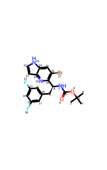 CC(C)(C)OC(=O)N[C@@H](Cc1cc(F)cc(F)c1)c1nc2cc[nH]c2cc1Br